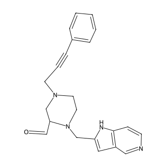 O=CC1CN(CC#Cc2ccccc2)CCN1Cc1cc2cnccc2[nH]1